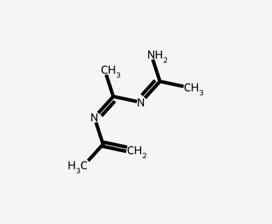 C=C(C)/N=C(C)\N=C(\C)N